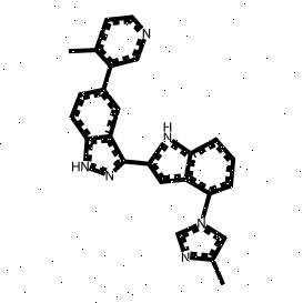 Cc1cn(-c2cccc3[nH]c(-c4n[nH]c5ccc(-c6cnccc6C)cc45)cc23)cn1